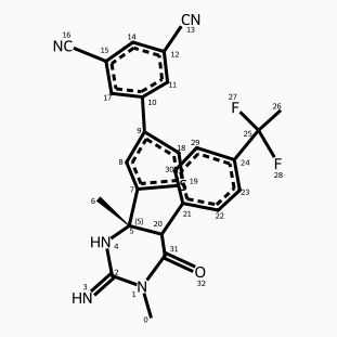 CN1C(=N)N[C@](C)(c2cc(-c3cc(C#N)cc(C#N)c3)cs2)C(c2ccc(C(C)(F)F)cc2)C1=O